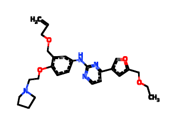 C=CCOCc1cc(Nc2nccc(-c3coc(COCC)c3)n2)ccc1OCCN1CCCC1